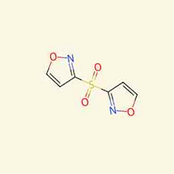 O=S(=O)(c1ccon1)c1ccon1